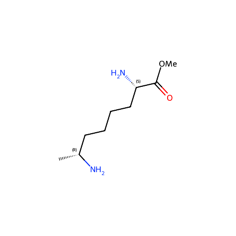 COC(=O)[C@@H](N)CCCC[C@@H](C)N